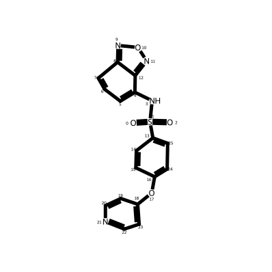 O=S(=O)(Nc1cccc2nonc12)c1ccc(Oc2ccncc2)cc1